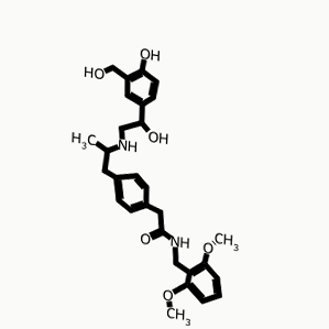 COc1cccc(OC)c1CNC(=O)Cc1ccc(CC(C)NCC(O)c2ccc(O)c(CO)c2)cc1